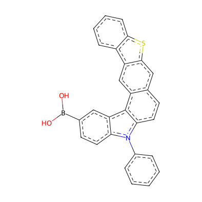 OB(O)c1ccc2c(c1)c1c3cc4c(cc3ccc1n2-c1ccccc1)sc1ccccc14